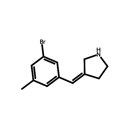 Cc1cc(Br)cc(/C=C2/CCNC2)c1